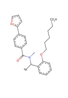 [2H]C(c1ccccc1OCCCCCC(=O)O)N(C)C(=O)c1ccc(-c2ccco2)cc1